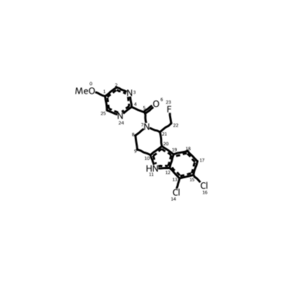 COc1cnc(C(=O)N2CCc3[nH]c4c(Cl)c(Cl)ccc4c3C2CF)nc1